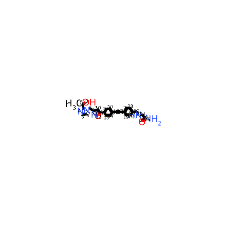 CC(O)c1nccn1Cc1cc(-c2ccc(C#Cc3ccc(CNCC(N)=O)cc3)cc2)on1